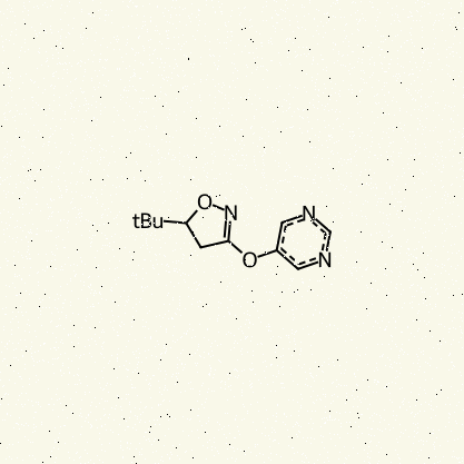 CC(C)(C)C1CC(Oc2cncnc2)=NO1